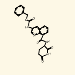 O=C1CCC(NC(=O)c2cccc3cc(NC(=O)OCc4ccccc4)cnc23)C(=O)N1